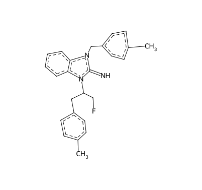 Cc1ccc(CC(CF)n2c(=N)n(Cc3ccc(C)cc3)c3ccccc32)cc1